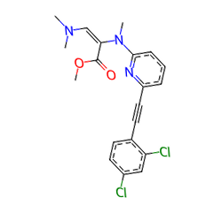 COC(=O)C(=CN(C)C)N(C)c1cccc(C#Cc2ccc(Cl)cc2Cl)n1